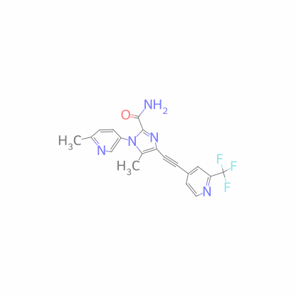 Cc1ccc(-n2c(C(N)=O)nc(C#Cc3ccnc(C(F)(F)F)c3)c2C)cn1